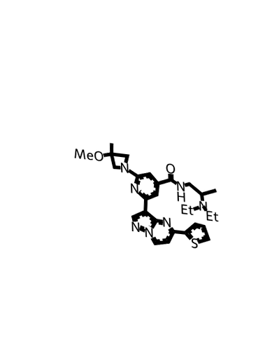 CCN(CC)C(C)CNC(=O)c1cc(-c2cnn3ccc(-c4cccs4)nc23)nc(N2CC(C)(OC)C2)c1